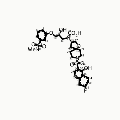 CNS(=O)(=O)c1cccc(OC[C@@H](O)CN(C(=O)O)[C@H]2COC3(CCN(S(=O)(=O)c4cnc5cc(F)ccc5c4O)CC3)C2)c1